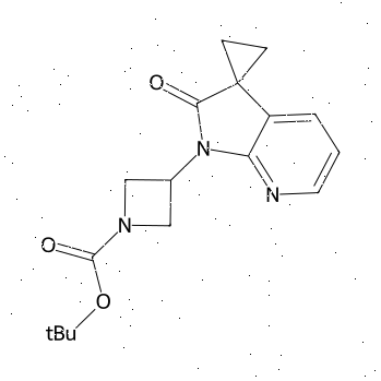 CC(C)(C)OC(=O)N1CC(N2C(=O)C3(CC3)c3cccnc32)C1